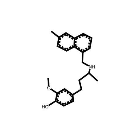 COc1cc(CCC(C)NCc2cccc3cc(C)ccc23)ccc1O